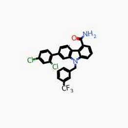 NC(=O)c1cccc2c1c1[c]cc(-c3ccc(Cl)cc3Cl)cc1n2Cc1cccc(C(F)(F)F)c1